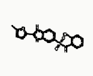 Cc1ccc(-c2nc3cc(S(=O)(=O)Nc4ccccc4Cl)ccc3[nH]2)o1